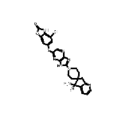 NC1(N)c2cccnc2CC12CCN(c1nc3ncc(Sc4cc(Cl)c5[nH]c(=O)oc5c4)nc3[nH]1)CC2